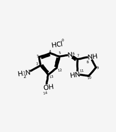 Cl.Nc1ccc(N=C2NCCN2)cc1O